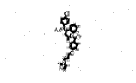 CC(=O)N(c1ccc(Cl)cc1)C1CC(C)N(C(=O)c2ccc(OCCCn3ccnc3)cc2)c2ccccc21